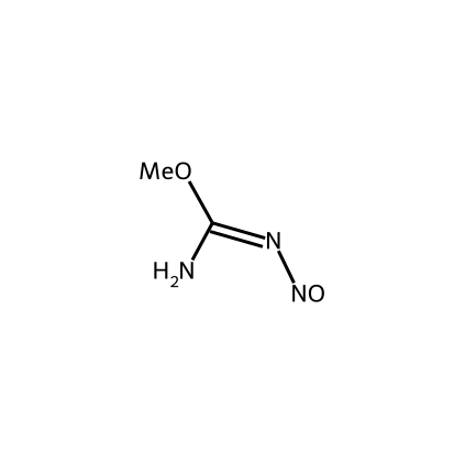 COC(N)=NN=O